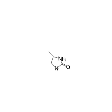 CC1C[N]C(=O)N1